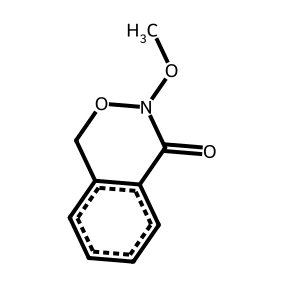 CON1OCc2ccccc2C1=O